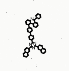 c1ccc(-c2nc3cccc(-c4ccc(-c5ccc(-c6nc(-c7ccc8ccccc8c7)nc(-c7ccc8ccccc8c7)n6)cc5)cc4)c3c3ccccc23)cc1